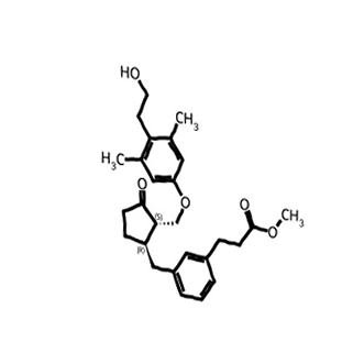 COC(=O)CCc1cccc(C[C@H]2CCC(=O)[C@@H]2COc2cc(C)c(CCO)c(C)c2)c1